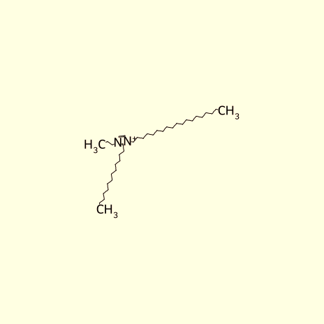 CCCCCCCCCCCCCCCCCCC[n+]1ccn(CCC)c1CCCCCCCCCCCCC